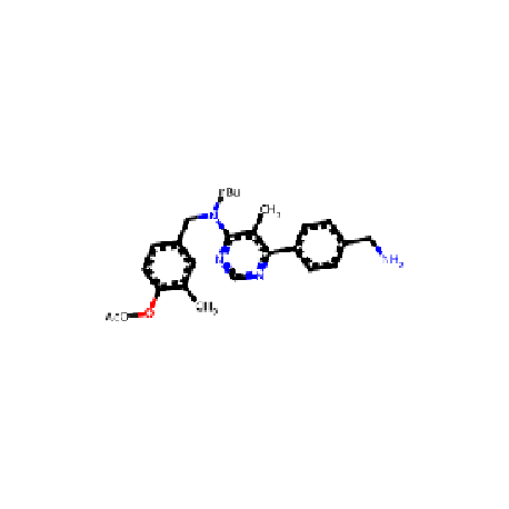 CCCCN(Cc1ccc(OOC(C)=O)c(C)c1)c1ncnc(-c2ccc(CN)cc2)c1C